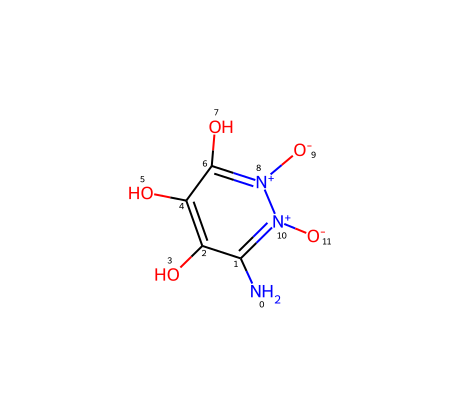 Nc1c(O)c(O)c(O)[n+]([O-])[n+]1[O-]